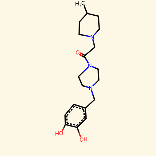 CC1CCN(CC(=O)N2CCN(Cc3ccc(O)c(O)c3)CC2)CC1